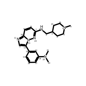 CN1CCC(CNc2ccc3ncc(-c4cccc(N(C)C)c4)n3n2)CC1